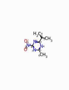 C=C(C)c1nc(C)nc([N+](=O)[O-])n1